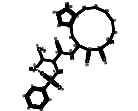 CC(C)C(NS(=O)(=O)c1ccccc1)C(=O)NC1Cc2cn[nH]c2CCCCCNC(=O)C1=O